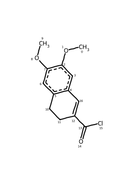 COc1cc2c(cc1OC)CCC(C(=O)Cl)=C2